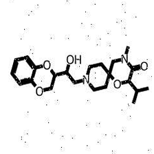 CC(C)C1OC2(CCN(CC(O)C3COc4ccccc4O3)CC2)CN(C)C1=O